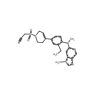 CCc1cc(C2=CCN(S(=O)(=O)CC#N)CC2)ccc1N(C)c1cc2c(cn1)ncn2C